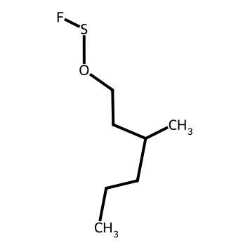 CCCC(C)CCOSF